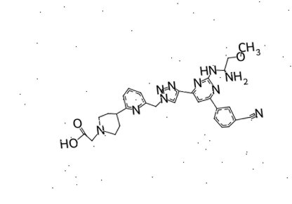 COC[C@@H](N)Nc1nc(-c2cccc(C#N)c2)cc(-c2cn(Cc3cccc(C4CCN(CC(=O)O)CC4)n3)nn2)n1